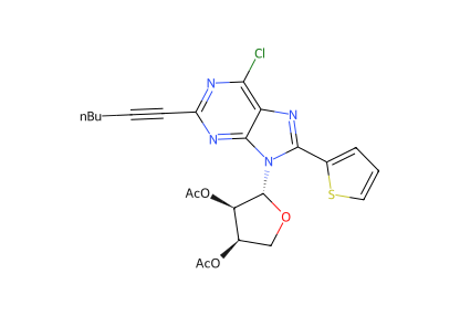 CCCCC#Cc1nc(Cl)c2nc(-c3cccs3)n([C@@H]3OC[C@@H](OC(C)=O)[C@H]3OC(C)=O)c2n1